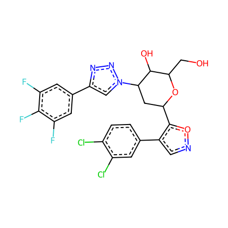 OCC1OC(c2oncc2-c2ccc(Cl)c(Cl)c2)CC(n2cc(-c3cc(F)c(F)c(F)c3)nn2)C1O